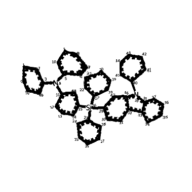 c1ccc(N(c2ccccc2)c2cccc([Si](c3ccccc3)(c3ccccc3)c3ccc4c5ccccc5n(-c5ccccc5)c4c3)c2)cc1